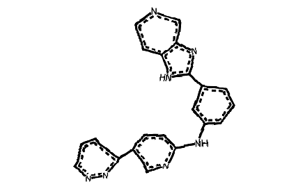 c1cc(Nc2ccc(-c3cccnn3)cn2)cc(-c2nc3cnccc3[nH]2)c1